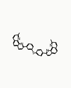 Cc1ccc2ccc3ccc(-c4ccc(Sc5cccc(-c6ccc7ccc8ccc(C)nc8c7n6)c5)cc4)nc3c2n1